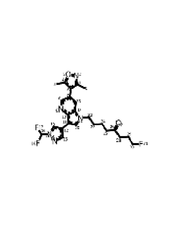 Cc1noc(C)c1-c1cnc2c(-c3cnn(C(F)F)c3)cn(CCCCC(=O)CCCF)c2c1